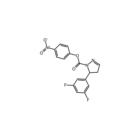 O=C(Oc1ccc([N+](=O)[O-])cc1)N1N=CCC1c1cc(F)cc(F)c1